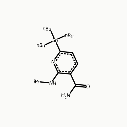 CCC[CH2][Sn]([CH2]CCC)([CH2]CCC)[c]1ccc(C(N)=O)c(NC(C)C)n1